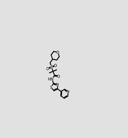 CC(C)(C(=O)Nc1nc(-c2cccnc2)cs1)S(=O)(=O)CC1CCOCC1